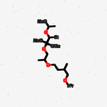 CCCOCC(C)CCOC(C)CO[Si](OC)(OC)C(CC)OC(C)OC